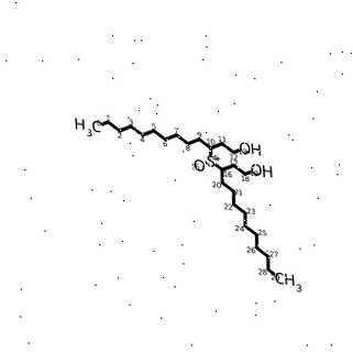 CCCCCCCCCCC(CCO)[S+]([O-])C(CCO)CCCCCCCCCC